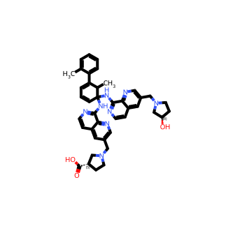 Cc1ccccc1C1=CC=CC(Nc2nccc3cc(CN4CC[C@@H](O)C4)cnc23)(Nc2nccc3cc(CN4CC[C@H](C(=O)O)C4)cnc23)C1C